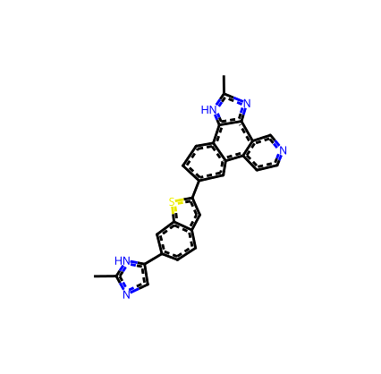 Cc1ncc(-c2ccc3cc(-c4ccc5c(c4)c4ccncc4c4nc(C)[nH]c54)sc3c2)[nH]1